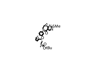 CSc1ncc2c(n1)N(C)CCN(c1cccc(O[C@H](CCN(C)C(=O)OC(C)(C)C)c3cccs3)c1)C2=O